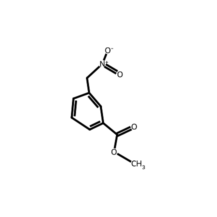 COC(=O)c1cccc(C[N+](=O)[O-])c1